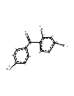 O=C(c1ccc(O)cc1)c1ccc(F)cc1O